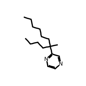 CCCCCCC(C)(CCCC)c1cnccn1